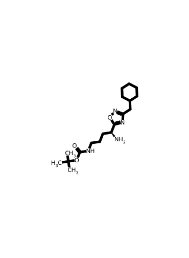 CC(C)(C)OC(=O)NCCC[C@H](N)c1nc(CC2CCCCC2)no1